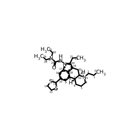 CCCN1CCC[C@@H]2c3cc(C4SCCS4)cc4c3c(c(CC)n4NC(=O)N(CC)CC)C[C@H]21